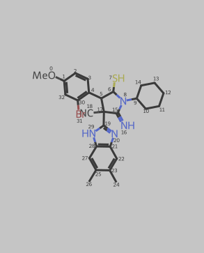 COc1ccc(C2C(S)N(C3CCCCC3)C(=N)C2(C#N)c2nc3cc(C)c(C)cc3[nH]2)c(Br)c1